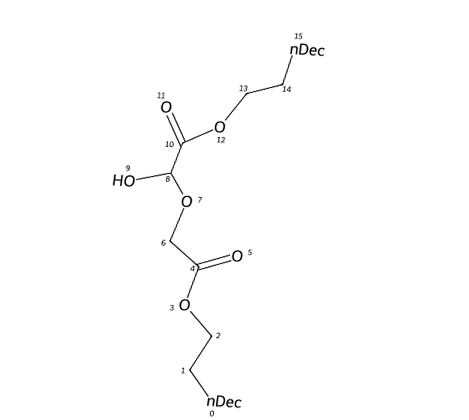 CCCCCCCCCCCCOC(=O)COC(O)C(=O)OCCCCCCCCCCCC